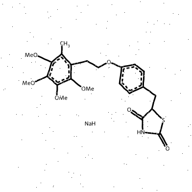 COc1c(C)c(CCOc2ccc(CC3SC(=O)NC3=O)cc2)c(OC)c(OC)c1OC.[NaH]